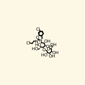 O=C(NCCCl)N(Cc1ccc(Cl)cc1)C1O[C@H](CO)[C@@H](O[C@H]2O[C@H](CO)[C@@H](O)[C@H](O)[C@H]2O)[C@H](O)[C@H]1O